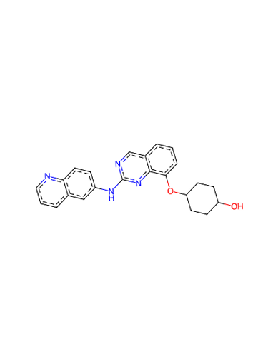 OC1CCC(Oc2cccc3cnc(Nc4ccc5ncccc5c4)nc23)CC1